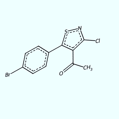 CC(=O)c1c(Cl)nsc1-c1ccc(Br)cc1